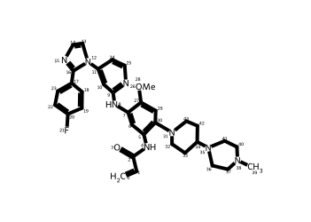 C=CC(=O)Nc1cc(Nc2cc(-n3ccnc3-c3ccc(F)cc3)ccn2)c(OC)cc1N1CCC(N2CCN(C)CC2)CC1